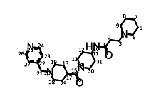 O=C(CCN1CCCCC1)NC1CCN(C(=O)C2CCN(Cc3ccncc3)CC2)CC1